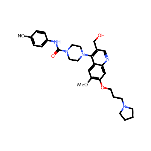 COc1cc2c(N3CCN(C(=O)Nc4ccc(C#N)cc4)CC3)c(CO)cnc2cc1OCCCN1CCCC1